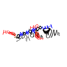 COc1ccc(Nc2ccc3c(O)c(N=Nc4cc(C)c(N=Nc5cc(C)c(N=Nc6ccc(SOOO)cc6S(=O)(=O)O)cc5C)cc4OC)c(SOOO)cc3c2)cc1